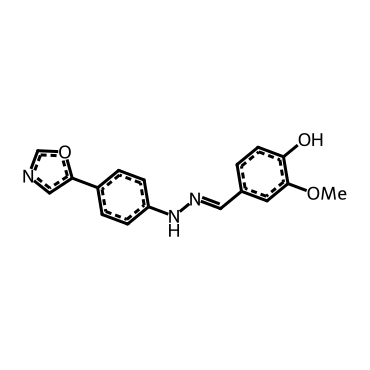 COc1cc(C=NNc2ccc(-c3cnco3)cc2)ccc1O